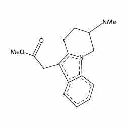 CNC1CCc2c(CC(=O)OC)c3ccccc3n2C1